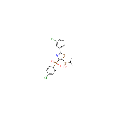 CC(C)[S+]([O-])c1sc(-c2cccc(F)c2)nc1S(=O)(=O)c1ccc(Cl)cc1